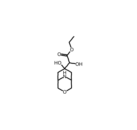 CCOC(=O)C(O)C1(O)CC2COCC(C1)N2